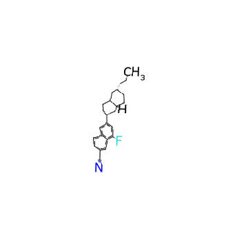 CCC[C@@H]1CC[C@@H]2CC(c3cc(F)c4cc(C#N)ccc4c3)CCC2C1